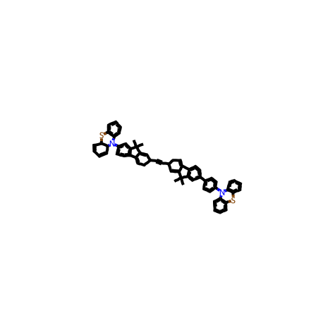 CC1(C)C2=CC(C#CC3C=C4C(=CC3)c3ccc(N5c6ccccc6SC6C=CC=CC65)cc3C4(C)C)CC=C2c2ccc(-c3ccc(N4c5ccccc5Sc5ccccc54)cc3)cc21